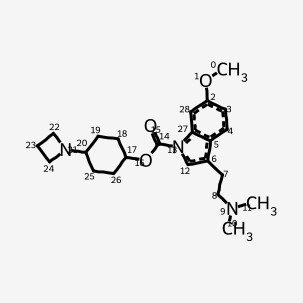 COc1ccc2c(CCN(C)C)cn(C(=O)OC3CCC(N4CCC4)CC3)c2c1